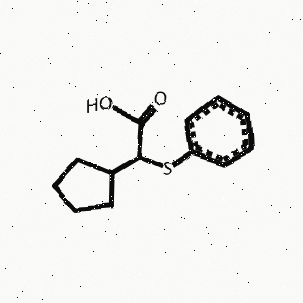 O=C(O)C(Sc1ccccc1)C1CCCC1